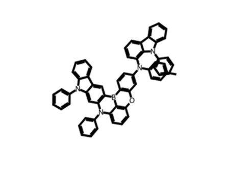 Cc1ccc(N(c2ccc3c(c2)Oc2cccc4c2B3c2cc3c5ccccc5n(-c5ccccc5)c3cc2N4c2ccccc2)c2cccc3c4ccccc4n(-c4ccccc4)c23)cc1